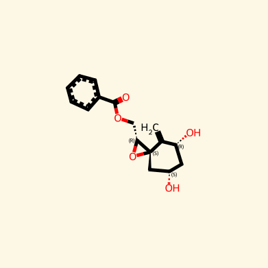 C=C1[C@H](O)C[C@H](O)C[C@]12O[C@@H]2COC(=O)c1ccccc1